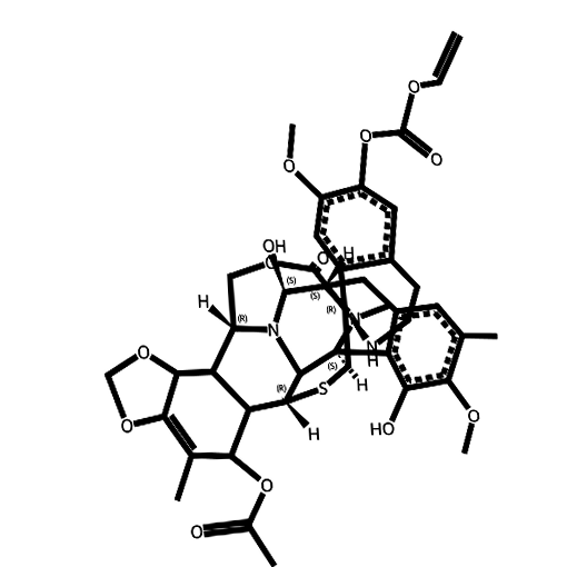 C=COC(=O)Oc1cc2c(cc1OC)[C@@]1(CS[C@@H]3C4C(OC(C)=O)C(C)=C5OCOC5C4[C@H](COC1=O)N1C3[C@@H]3c4c(cc(C)c(OC)c4O)C[C@@H]([C@@H]1O)N3C)NCC2